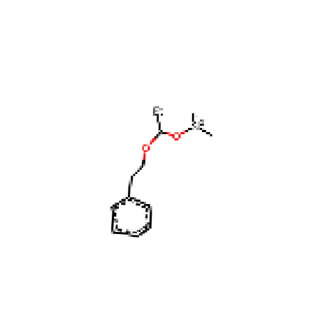 CCC(OCCc1ccccc1)O[SiH2]C